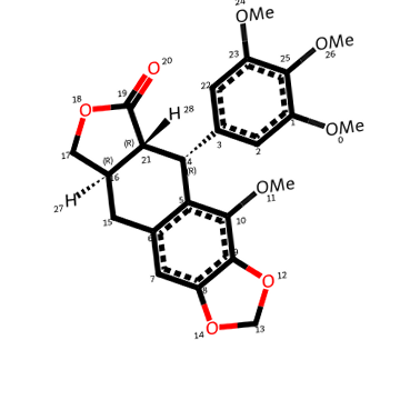 COc1cc([C@@H]2c3c(cc4c(c3OC)OCO4)C[C@H]3COC(=O)[C@@H]32)cc(OC)c1OC